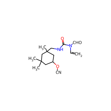 C=CN(C=O)C(=O)NCC1(C)CC(OC#N)CC(C)(C)C1